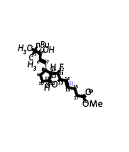 CCCCC(C)(C)[C@H](O)/C=C/[C@H]1CC[C@@H]2OC(/C=C/CCC(=O)OC)C(F)[C@@H]21